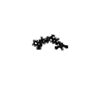 CCN(CCC(C)(CC)OCC(C)(CC)OC(=O)C1CCCCC1C(=O)O)c1ccc(/N=N/c2sc(C#N)c(C)c2C#N)c(C)c1